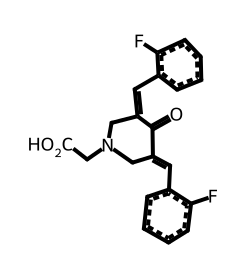 O=C(O)CN1CC(=Cc2ccccc2F)C(=O)C(=Cc2ccccc2F)C1